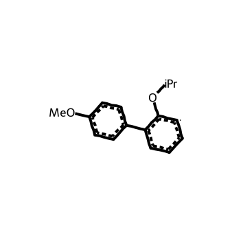 COc1ccc(-c2ccc[c]c2OC(C)C)cc1